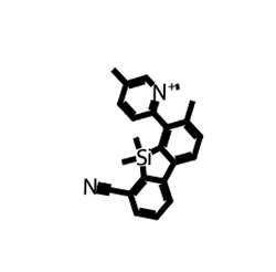 Cc1ccc(-c2c(C)ccc3c2[Si](C)(C)c2c(C#N)cccc2-3)[n+](C)c1